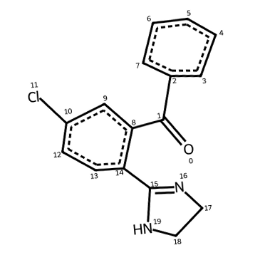 O=C(c1ccccc1)c1cc(Cl)ccc1C1=NCCN1